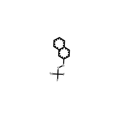 [2H]C(F)(F)SSc1ccc2ccccc2c1